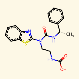 C[C@H](NC(=O)N(CCNC(=O)O)c1nc2ccccc2s1)c1ccccc1